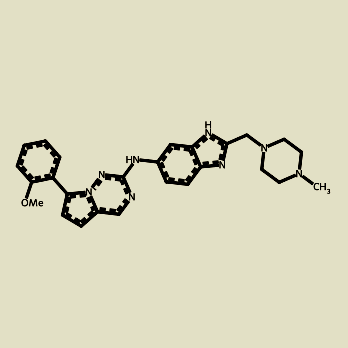 COc1ccccc1-c1ccc2cnc(Nc3ccc4nc(CN5CCN(C)CC5)[nH]c4c3)nn12